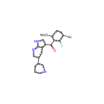 COc1ccc(C(C)=O)c(F)c1C(=O)c1c[nH]c2ncc(-c3cccnc3)cc12